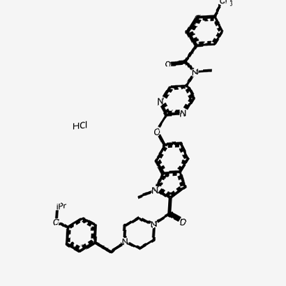 CC(C)Oc1ccc(CN2CCN(C(=O)c3cc4ccc(Oc5ncc(N(C)C(=O)c6ccc(C(F)(F)F)cc6)cn5)cc4n3C)CC2)cc1.Cl